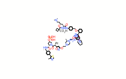 Cc1ncsc1-c1ccc([C@H](C)NC(=O)[C@@H]2C[C@@H](OP(=O)(O)O)CN2C(=O)[C@@H](c2cc(OCCN3CCN(CCOc4cc(N5C6CCC5CN(c5cc(-c7ccccc7OCc7ccc(NC(=O)[C@H](CCCCN(C)C)NC(=O)C8(C(=O)O)CCC8)cc7)nnc5N)C6)ccn4)[C@H](C)C3)no2)C(C)C)cc1